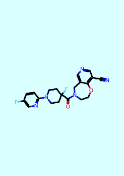 N#Cc1cncc2c1OCCN(C(=O)C1(F)CCN(c3ccc(F)cn3)CC1)C2